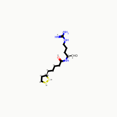 N=C(N)NCCC[C@@H](C=O)NC(=O)CCCC[C@@H]1CCSS1